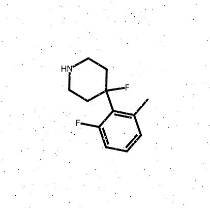 Cc1cccc(F)c1C1(F)CCNCC1